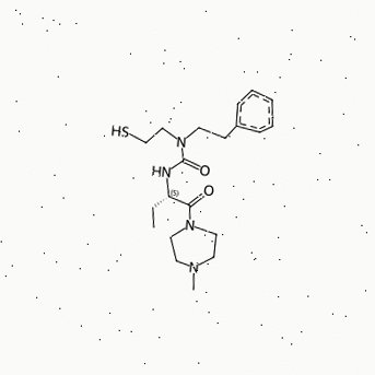 CC[C@H](NC(=O)N(CCS)CCc1ccccc1)C(=O)N1CCN(C)CC1